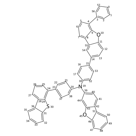 c1ccc(-c2cccc3c2oc2ccc(-c4ccc(N(c5ccc(-c6cccc7c6sc6ccccc67)cc5)c5ccc6c(c5)oc5ccccc56)cc4)cc23)cc1